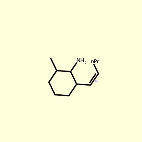 CCC/C=C\C1CCCC(C)C1N